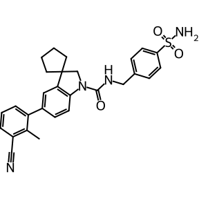 Cc1c(C#N)cccc1-c1ccc2c(c1)C1(CCCC1)CN2C(=O)NCc1ccc(S(N)(=O)=O)cc1